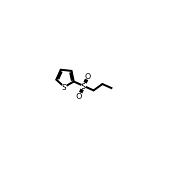 CCCS(=O)(=O)c1cccs1